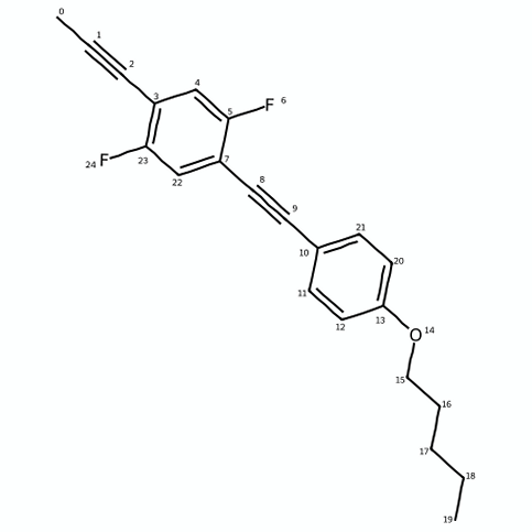 CC#Cc1cc(F)c(C#Cc2ccc(OCCCCC)cc2)cc1F